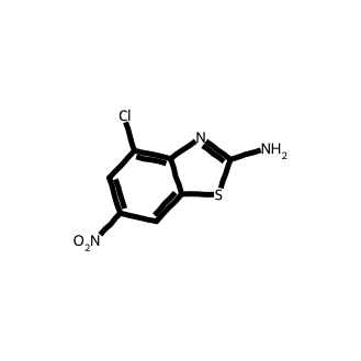 Nc1nc2c(Cl)cc([N+](=O)[O-])cc2s1